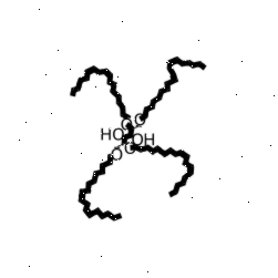 CCCCC/C=C\C/C=C\CCCCCCCCOC[C@@H](OCCCCCCCC/C=C\C/C=C\CCCCC)[C@@H](O)[C@H](O)[C@@H](COCCCCCCCC/C=C\C/C=C\CCCCC)OCCCCCCCC/C=C\C/C=C\CCCCC